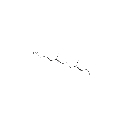 C/C(=C\CO)CC/C=C(\C)CCCO